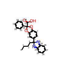 CCCCC1(c2ccc3c(c2)OC(C(=O)O)(c2ccccc2)O3)N=c2ccccc2=N1